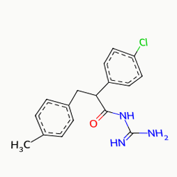 Cc1ccc(CC(C(=O)NC(=N)N)c2ccc(Cl)cc2)cc1